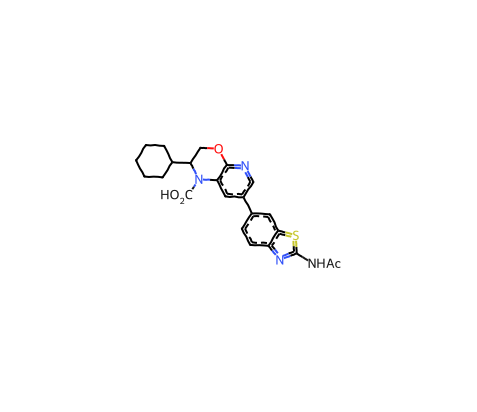 CC(=O)Nc1nc2ccc(-c3cnc4c(c3)N(C(=O)O)C(C3CCCCC3)CO4)cc2s1